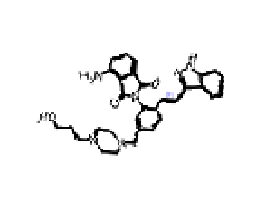 Nc1cccc2c1C(=O)N(c1cc(CN3CCN(CCCO)CC3)ccc1/C=C/c1n[nH]c3ccccc13)C2=O